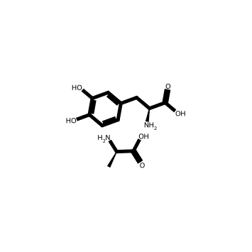 C[C@@H](N)C(=O)O.N[C@@H](Cc1ccc(O)c(O)c1)C(=O)O